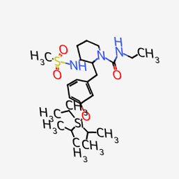 CCNC(=O)N1CCCC(NS(C)(=O)=O)C1Cc1cccc(O[Si](C(C)C)(C(C)C)C(C)C)c1